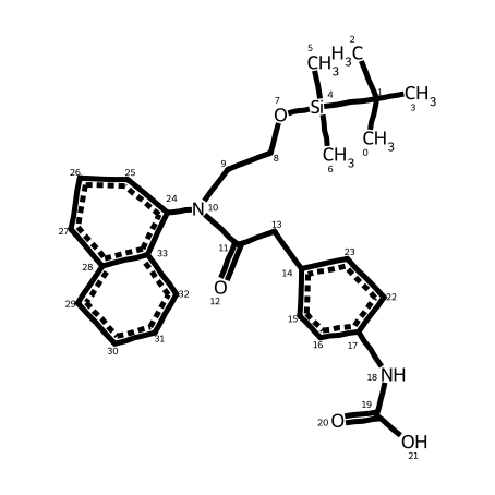 CC(C)(C)[Si](C)(C)OCCN(C(=O)Cc1ccc(NC(=O)O)cc1)c1cccc2ccccc12